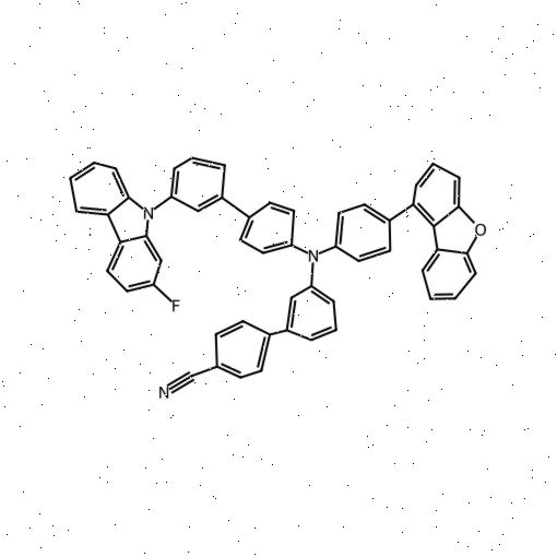 N#Cc1ccc(-c2cccc(N(c3ccc(-c4cccc(-n5c6ccccc6c6ccc(F)cc65)c4)cc3)c3ccc(-c4cccc5oc6ccccc6c45)cc3)c2)cc1